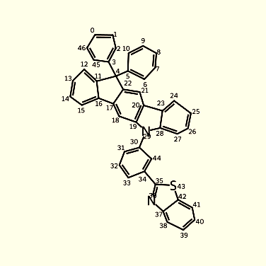 c1ccc(C2(c3ccccc3)c3ccccc3-c3cc4c(cc32)c2ccccc2n4-c2cccc(-c3nc4ccccc4s3)c2)cc1